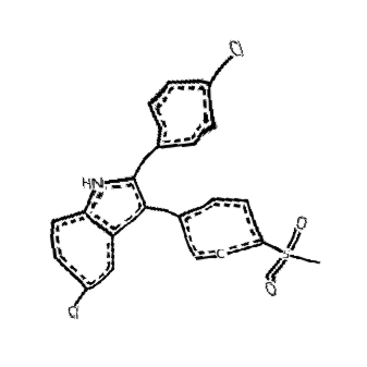 CS(=O)(=O)c1ccc(-c2c(-c3ccc(Cl)cc3)[nH]c3ccc(Cl)cc23)cc1